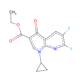 CCOC(=O)c1cn(C2CC2)c2nc(F)c(F)cc2c1=O